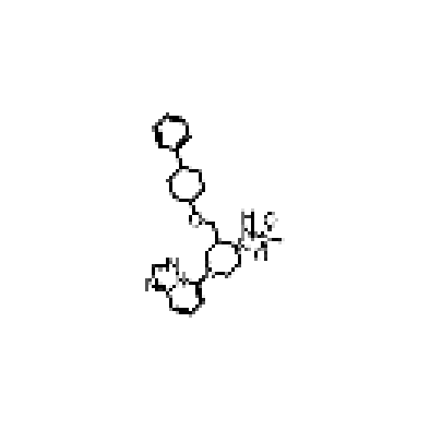 CS(=O)(=O)N[C@H]1CCN(c2cccc3ncnn23)CC1COC1CCC(c2ccccc2)CC1